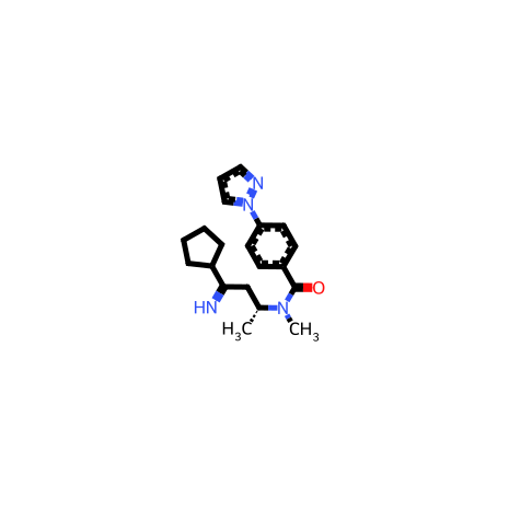 C[C@H](CC(=N)C1CCCC1)N(C)C(=O)c1ccc(-n2cccn2)cc1